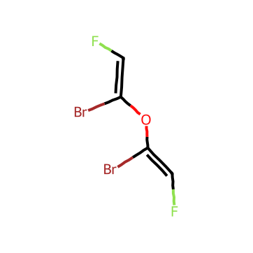 F/C=C(\Br)O/C(Br)=C/F